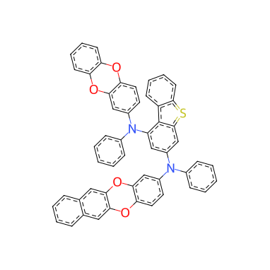 c1ccc(N(c2ccc3c(c2)Oc2cc4ccccc4cc2O3)c2cc(N(c3ccccc3)c3ccc4c(c3)Oc3ccccc3O4)c3c(c2)sc2ccccc23)cc1